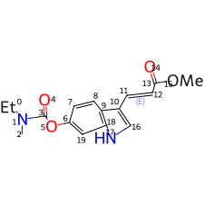 CCN(C)C(=O)Oc1ccc2c(/C=C/C(=O)OC)c[nH]c2c1